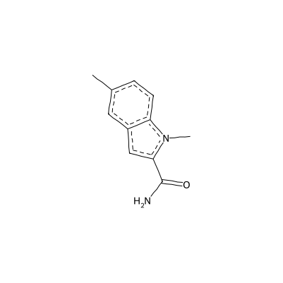 Cc1ccc2c(c1)cc(C(N)=O)n2C